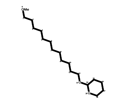 COCCCCCCCCCCCCOC1CCCCO1